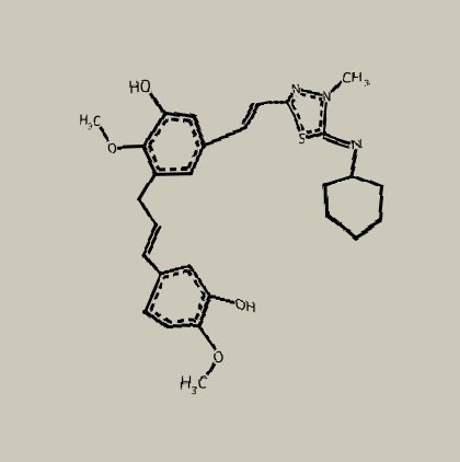 COc1ccc(C=CCc2cc(/C=C/c3nn(C)c(=NC4CCCCC4)s3)cc(O)c2OC)cc1O